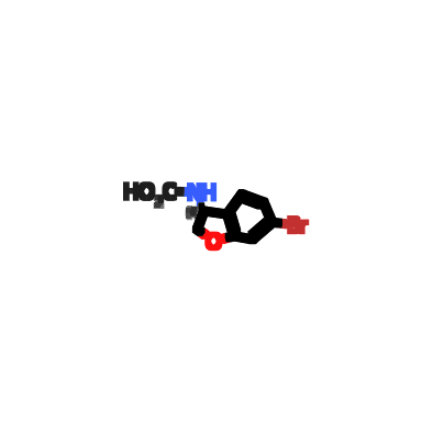 O=C(O)N[C@H]1COc2cc(Br)ccc21